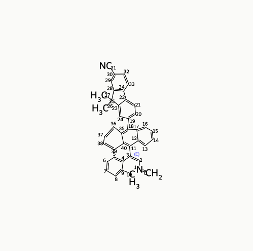 C=N/C=C(\c1ccccc1C)c1c2ccccc2c(-c2ccc3c(c2)C(C)(C)c2cc(C#N)ccc2-3)c2ccccc12